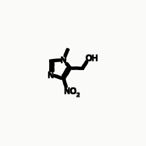 Cn1cnc([N+](=O)[O-])c1CO